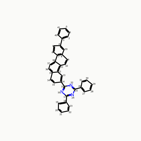 c1ccc(-c2ccc3c(ccc4c5cc(-c6nc(-c7ccccc7)nc(-c7ccccc7)n6)ccc5ccc34)c2)cc1